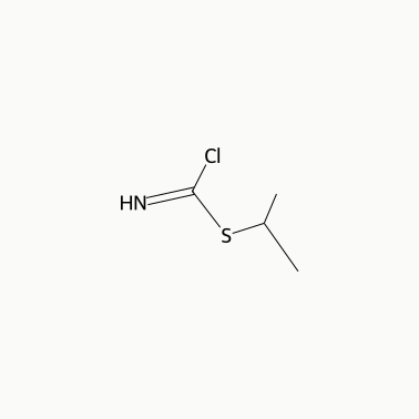 CC(C)SC(=N)Cl